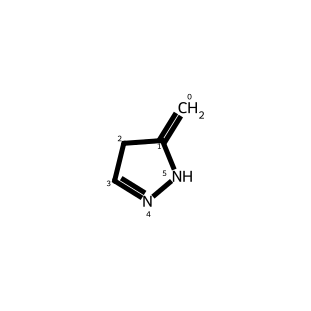 C=C1CC=NN1